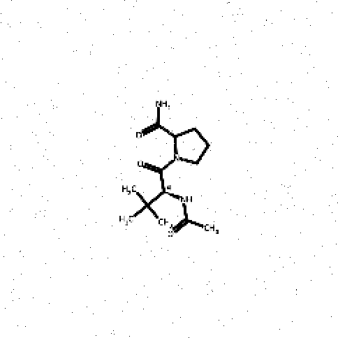 CC(=O)N[C@H](C(=O)N1CCCC1C(N)=O)C(C)(C)C